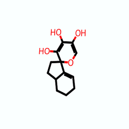 OC1=COC2(CCC3CCCC=C32)C(O)=C1O